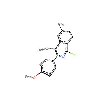 COc1ccc2c(F)nc(-c3ccc(OC(C)C)cc3)c(OC)c2c1